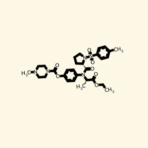 CCOC(=O)[C@H](C)N(C(=O)[C@@H]1CCCN1S(=O)(=O)c1ccc(C)cc1)c1ccc(OC(=O)N2CCN(C)CC2)cc1